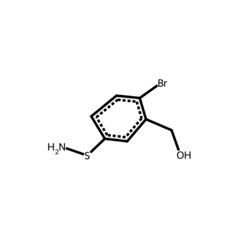 NSc1ccc(Br)c(CO)c1